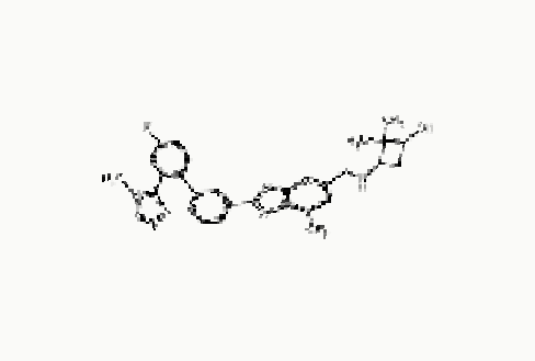 Cn1cnnc1-c1cc(F)ccc1-c1cccc(-c2nc3cc(CN[C@@H]4C[C@H](O)C4(C)C)cc(C(F)(F)F)c3o2)c1